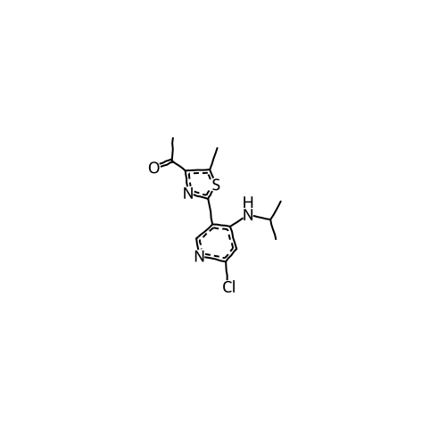 CC(=O)c1nc(-c2cnc(Cl)cc2NC(C)C)sc1C